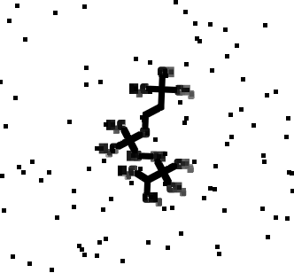 CC(C)C(C)(C)BBC(C)(C)OCCC(C)(C)O